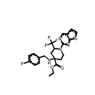 CCOC(=O)C1(NCc2ccc(F)cc2)CCN(c2ncc3ccsc3n2)C(C(F)(F)F)C1